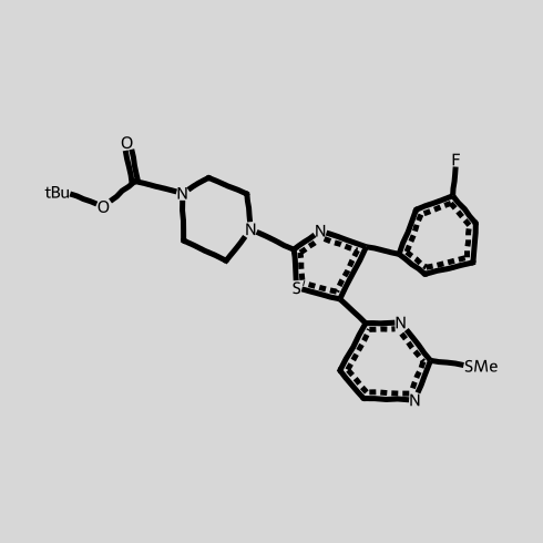 CSc1nccc(-c2sc(N3CCN(C(=O)OC(C)(C)C)CC3)nc2-c2cccc(F)c2)n1